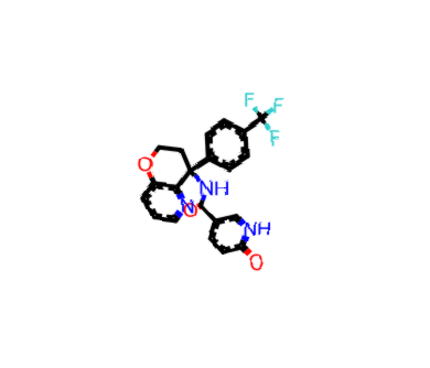 O=C(NC1(c2ccc(C(F)(F)F)cc2)CCOc2cccnc21)c1ccc(=O)[nH]c1